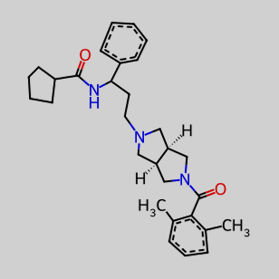 Cc1cccc(C)c1C(=O)N1C[C@H]2CN(CCC(NC(=O)C3CCCC3)c3ccccc3)C[C@H]2C1